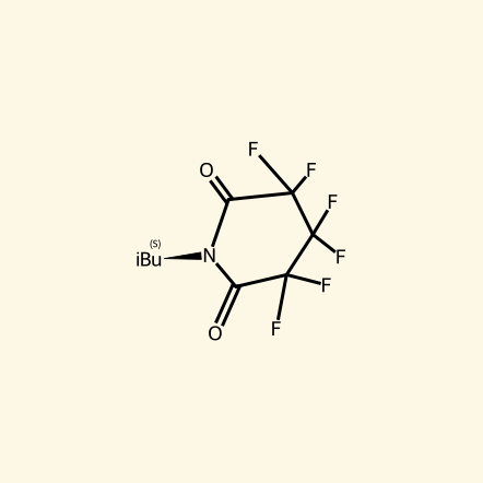 CC[C@H](C)N1C(=O)C(F)(F)C(F)(F)C(F)(F)C1=O